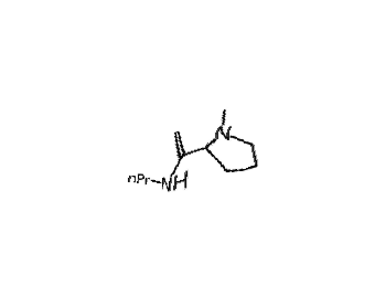 C=C(NCCC)C1CCCN1C